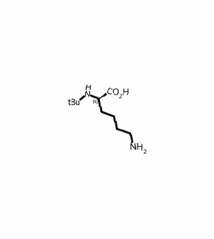 CC(C)(C)N[C@H](CCCCN)C(=O)O